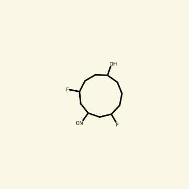 O=NC1CC(F)CCCC(O)CCC(F)C1